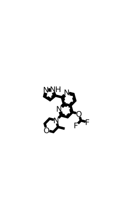 CC1COCCN1c1cc(OC(F)F)c2ccnc(-c3ccn[nH]3)c2n1